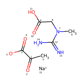 CC(=O)C(=O)[O-].CN(CC(=O)O)C(=N)N.[Na+]